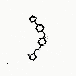 Cl.c1coc(-c2ccc(Cc3ccc(OCC4CCCN4)cc3)cc2)n1